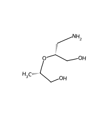 C[C@@H](CO)O[C@H](CN)CO